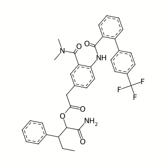 CCC(c1ccccc1)C(OC(=O)Cc1ccc(NC(=O)c2ccccc2-c2ccc(C(F)(F)F)cc2)c(C(=O)N(C)C)c1)C(N)=O